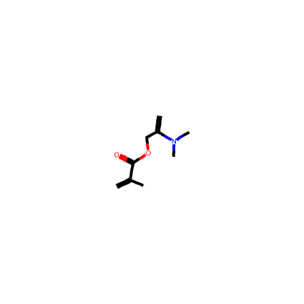 C=C(C)C(=O)OCC(=C)N(C)C